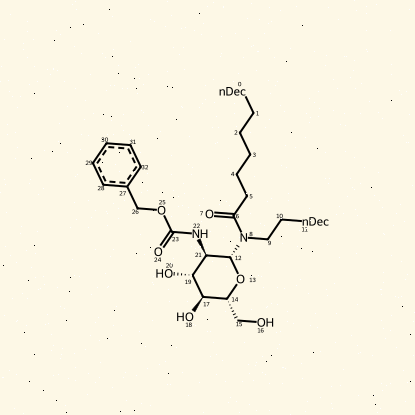 CCCCCCCCCCCCCCCC(=O)N(CCCCCCCCCCCC)[C@@H]1O[C@H](CO)[C@@H](O)[C@H](O)[C@H]1NC(=O)OCc1ccccc1